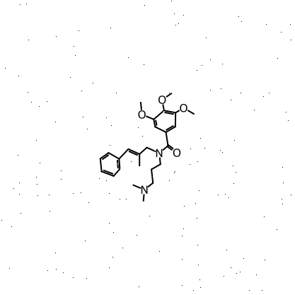 COc1cc(C(=O)N(CCCN(C)C)CC(C)=Cc2ccccc2)cc(OC)c1OC